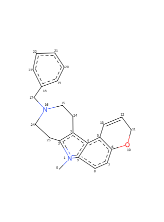 Cn1c2c(c3c4c(ccc31)OCC=C4)CCN(Cc1ccccc1)CC2